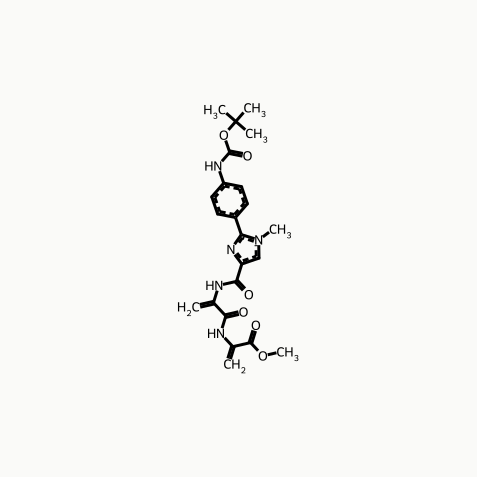 C=C(NC(=O)c1cn(C)c(-c2ccc(NC(=O)OC(C)(C)C)cc2)n1)C(=O)NC(=C)C(=O)OC